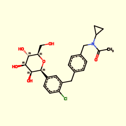 CC(=O)N(Cc1ccc(Cc2cc([C@@H]3O[C@H](CO)[C@@H](O)[C@H](O)[C@@H]3O)ccc2Cl)cc1)C1CC1